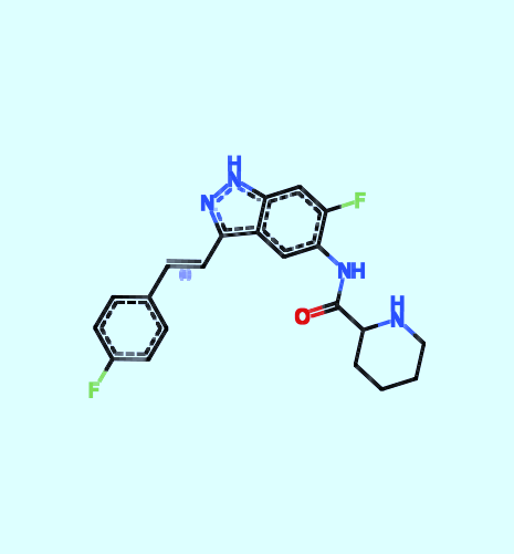 O=C(Nc1cc2c(/C=C/c3ccc(F)cc3)n[nH]c2cc1F)C1CCCCN1